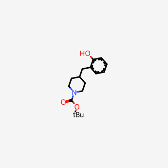 CC(C)(C)OC(=O)N1CCC(Cc2ccccc2O)CC1